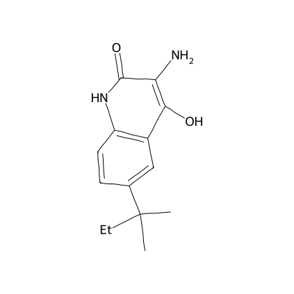 CCC(C)(C)c1ccc2[nH]c(=O)c(N)c(O)c2c1